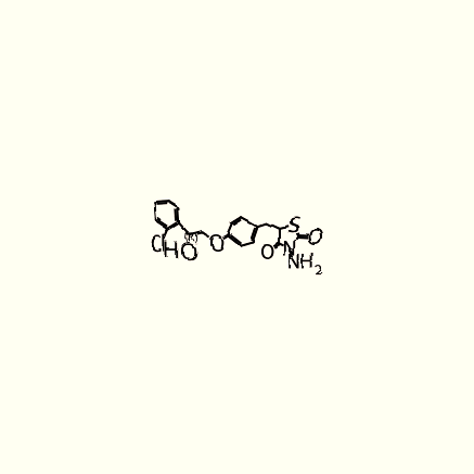 NN1C(=O)SC(Cc2ccc(OC[C@H](O)c3ccccc3Cl)cc2)C1=O